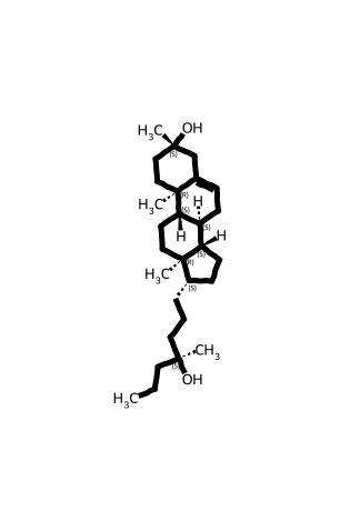 CCC[C@](C)(O)CCC[C@H]1CC[C@H]2[C@@H]3CC=C4C[C@@](C)(O)CC[C@]4(C)[C@H]3CC[C@]12C